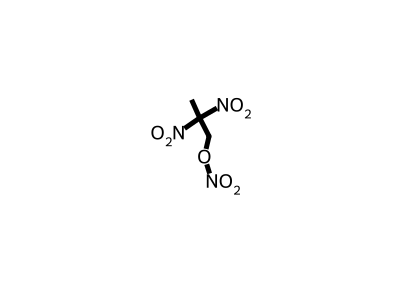 CC(CO[N+](=O)[O-])([N+](=O)[O-])[N+](=O)[O-]